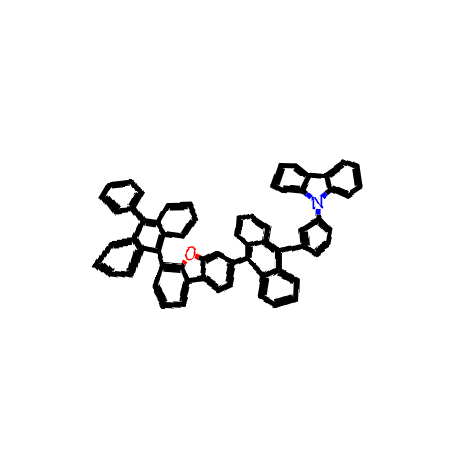 c1ccc(-c2c3ccccc3c(-c3cccc4c3oc3cc(-c5c6ccccc6c(-c6cccc(-n7c8ccccc8c8ccccc87)c6)c6ccccc56)ccc34)c3ccccc23)cc1